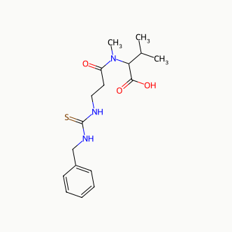 CC(C)C(C(=O)O)N(C)C(=O)CCNC(=S)NCc1ccccc1